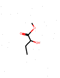 CCC(O)C(=O)OC